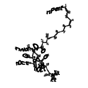 CCCCC/C=C\C/C=C\CCCCCCCC(=O)OC(CCCCCCCCC)(COC(=O)NCCN(CC)CC)C(=O)OC(CCCCCCCC)CCCCCCCC